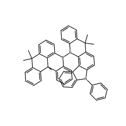 CC1(C)c2ccccc2C2(C)c3ccccc3B(N3c4ccccc4C(C)(C)c4ccc5c(c43)c3ccccc3n5-c3ccccc3)c3cccc1c32